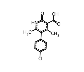 Cc1[nH]c(=O)c(C(=O)O)c(C)c1-c1ccc(Cl)cc1